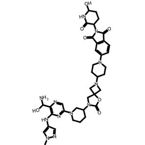 Cn1cc(Nc2nc(N3CCCC(N4CC5(CN(C6CCN(c7ccc8c(c7)C(=O)N(C7CCC(O)NC7=O)C8=O)CC6)C5)OC4=O)C3)cnc2C(N)O)cn1